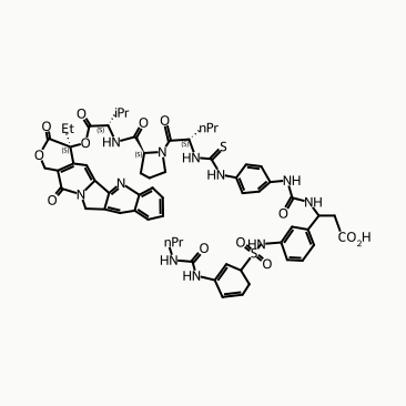 CCCNC(=O)NC1=CC(S(=O)(=O)Nc2cccc(C(CC(=O)O)NC(=O)Nc3ccc(NC(=S)N[C@@H](CCC)C(=O)N4CCC[C@H]4C(=O)N[C@H](C(=O)O[C@]4(CC)C(=O)OCc5c4cc4n(c5=O)Cc5cc6ccccc6nc5-4)C(C)C)cc3)c2)CC=C1